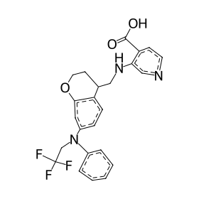 O=C(O)c1ccncc1NCC1CCOc2cc(N(CC(F)(F)F)c3ccccc3)ccc21